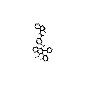 CCc1c(-c2ccccc2C)c(-c2ccccc2)c(N(C)c2cccc(/C(C)=N/c3c(C)ccc4ccccc34)c2)c2ccccc12